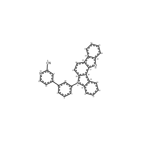 N#Cc1cc(-c2cccc(-n3c4ccccc4c4c5oc6ccccc6c5ccc43)c2)ccn1